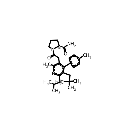 Cc1ccc(-c2c(CC(=O)N3CCC[C@H]3C(N)=O)c(C)nc(CC(C)C)c2CC(C)(C)C)cc1